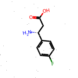 N[C@H](CC(=O)O)c1ccc(F)cc1